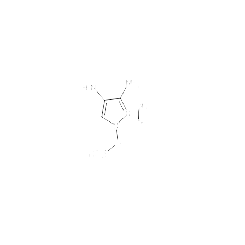 CCO.Nc1cn(OS(=O)(=O)O)nc1N